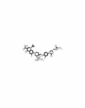 CC(=O)NC[C@H]1CN(c2ccc(OCC3(OP(C)(=O)O)CCN(c4cc5c(cc4F)c(=O)c(C(=O)O)cn5C4CC4)CC3)c(F)c2)C(=O)O1